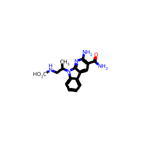 CC(CNC(=O)O)n1c2ccccc2c2cc(C(N)=O)c(N)nc21